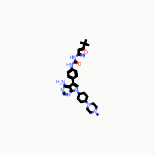 CN1CCN(C2CCC(n3cc(-c4ccc(NC(=O)Nc5cc(C(C)(C)C)on5)cc4)c4c(N)ncnc43)CC2)CC1